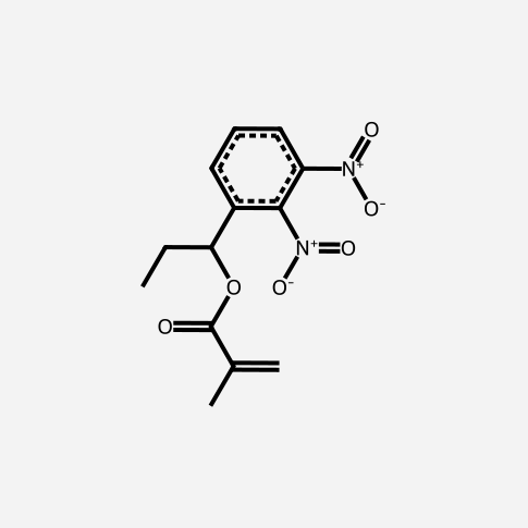 C=C(C)C(=O)OC(CC)c1cccc([N+](=O)[O-])c1[N+](=O)[O-]